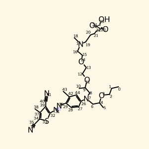 CCCOC(C)CN(CC(C)OCCOCCN(C)CCCS(=O)(=O)O)c1ccc(/N=N/c2sc(C#N)c(C)c2C#N)c(C)c1